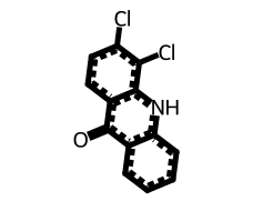 O=c1c2ccccc2[nH]c2c(Cl)c(Cl)ccc12